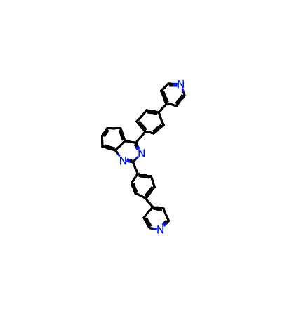 c1ccc2c(-c3ccc(-c4ccncc4)cc3)nc(-c3ccc(-c4ccncc4)cc3)nc2c1